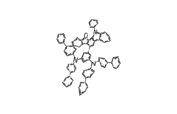 c1ccc(-c2ccc(N(c3ccc(-c4ccccc4)cc3)c3cc(-c4cc5c6ccccc6n(-c6ccccc6)c5c5oc6ccccc6c45)cc(N(c4ccc(-c5ccccc5)cc4)c4ccc(-c5ccccc5)cc4)c3)cc2)cc1